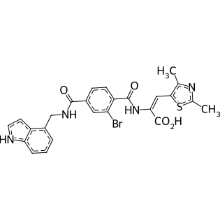 Cc1nc(C)c(C=C(NC(=O)c2ccc(C(=O)NCc3cccc4[nH]ccc34)cc2Br)C(=O)O)s1